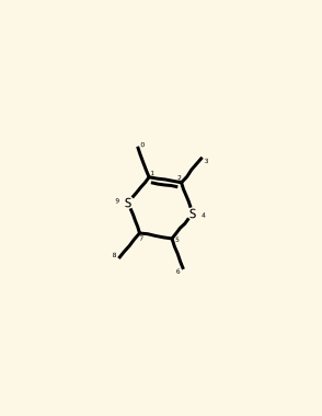 CC1=C(C)SC(C)C(C)S1